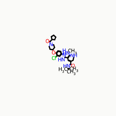 CNC1=C(C(=N)Nc2ccc(OC3CCN(C(=O)C4CCCC4)CC3)c(Cl)c2)C=C(C(=O)NC(C)(C)C)CCN1